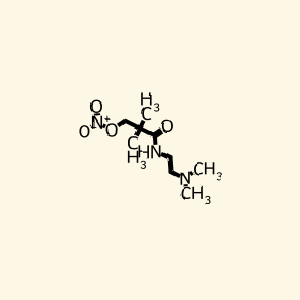 CN(C)CCNC(=O)C(C)(C)CO[N+](=O)[O-]